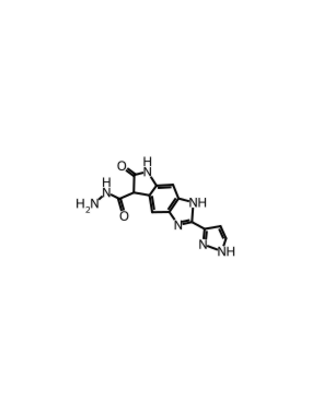 NNC(=O)C1C(=O)Nc2cc3[nH]c(-c4cc[nH]n4)nc3cc21